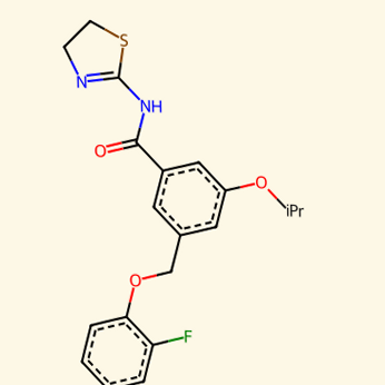 CC(C)Oc1cc(COc2ccccc2F)cc(C(=O)NC2=NCCS2)c1